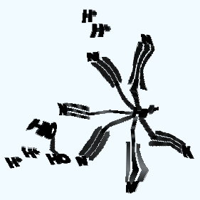 N#[C][Fe-4]([C]#N)([C]#N)([C]#N)([C]#N)[C]#N.OO.[H+].[H+].[H+].[H+]